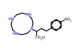 O=C(O)C(CCc1ccc([N+](=O)[O-])cc1)N1CCNCCNCCNCC1